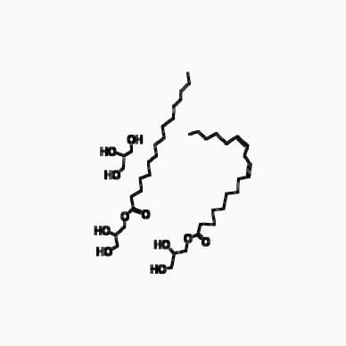 CCCCC/C=C\C/C=C\CCCCCCCC(=O)OCC(O)CO.CCCCCCCCCCCCCCCC(=O)OCC(O)CO.OCC(O)CO